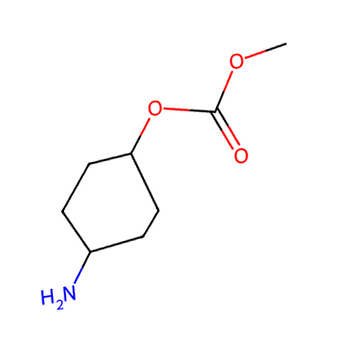 COC(=O)OC1CCC(N)CC1